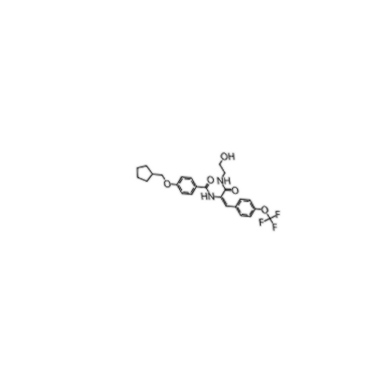 O=C(NCCO)/C(=C\c1ccc(OC(F)(F)F)cc1)NC(=O)c1ccc(OCC2CCCC2)cc1